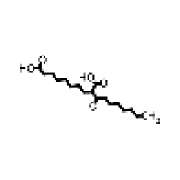 CCCCCCCC(=O)C(CCCCCCCC(=O)O)C(=O)O